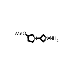 COC1CCN(C2CN(N)C2)C1